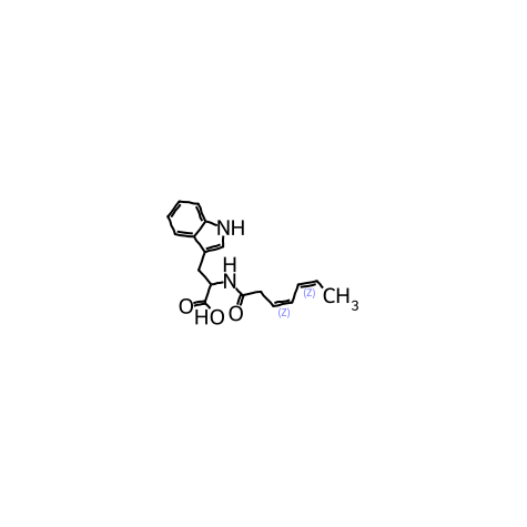 C/C=C\C=C/CC(=O)NC(Cc1c[nH]c2ccccc12)C(=O)O